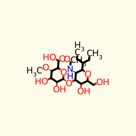 CCC(CC)C1OC(CO)[C@@H](O)C(O[C@@H]2OC(C(=O)O)[C@@H](OC)C(O)[C@@H]2O)[C@@H]1NC(C)=O